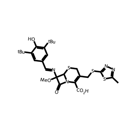 COC1(N=Cc2cc(C(C)(C)C)c(O)c(C(C)(C)C)c2)C(=O)N2C(C(=O)O)=C(CSc3nnc(C)s3)CSC21